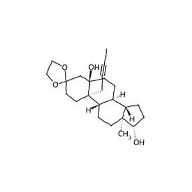 C[C@]12CC[C@H]3[C@@H](CC[C@@]4(O)CC5(CC[C@]34CC#CI)OCCO5)[C@@H]1CC[C@@H]2O